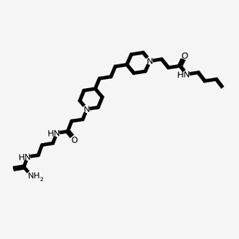 C=C(N)NCCCNC(=O)CCN1CCC(CCCC2CCN(CCC(=O)NCCCC)CC2)CC1